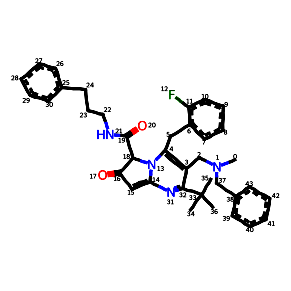 CN(CC1=C(Cc2ccccc2F)N2C(=CC(=O)C2C(=O)NCCCc2ccccc2)N=C1C(C)(C)C)Cc1ccccc1